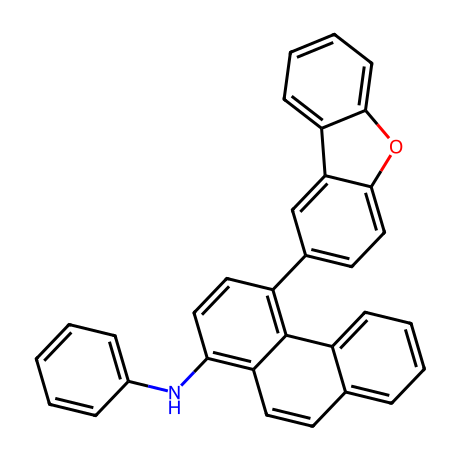 c1ccc(Nc2ccc(-c3ccc4oc5ccccc5c4c3)c3c2ccc2ccccc23)cc1